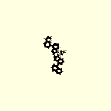 CC1=Cc2c(-c3cccc4cccnc34)cccc2[CH]1[Zr+2]1([CH]2C(C)=Cc3c(-c4cccc5cccnc45)cccc32)[CH2][CH2]1.[Cl-].[Cl-]